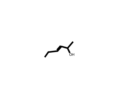 CCC=CC(C)O